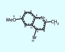 COc1ccc2nc(C)cc(Br)c2c1